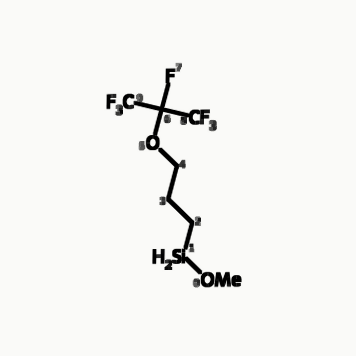 CO[SiH2]CCCOC(F)(C(F)(F)F)C(F)(F)F